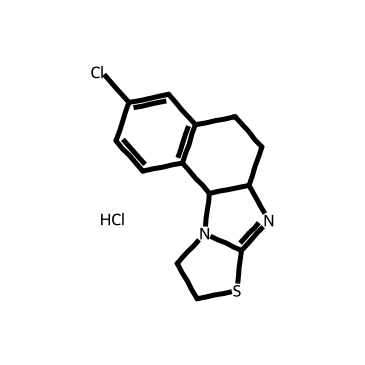 Cl.Clc1ccc2c(c1)CCC1N=C3SCCN3C21